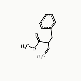 C=CC(Cc1ccccc1)C(=O)OC